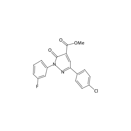 COC(=O)c1cc(-c2ccc(Cl)cc2)nn(-c2cccc(F)c2)c1=O